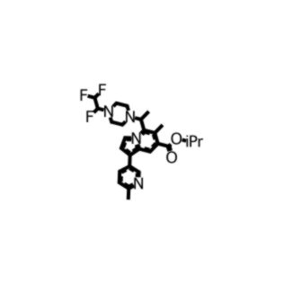 Cc1ccc(-c2ccn3c(C(C)N4CCN(C(F)C(F)F)CC4)c(C)c(C(=O)OC(C)C)cc23)cn1